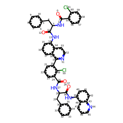 O=C(NC(Cc1ccccc1)C(=O)Nc1cccc2c(-c3cccc(C(=O)NC(Cc4ccccc4)C(=O)Nc4cccc5ncccc45)c3Cl)nccc12)c1ccccc1Cl